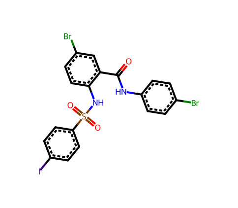 O=C(Nc1ccc(Br)cc1)c1cc(Br)ccc1NS(=O)(=O)c1ccc(I)cc1